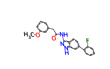 COc1cccc(CC(=O)Nc2n[nH]c3cc(-c4ccccc4F)ccc23)c1